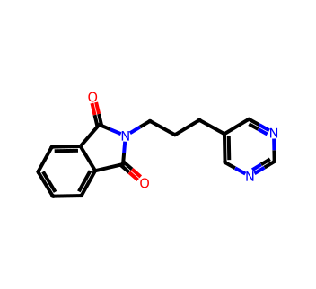 O=C1c2ccccc2C(=O)N1CCCc1cncnc1